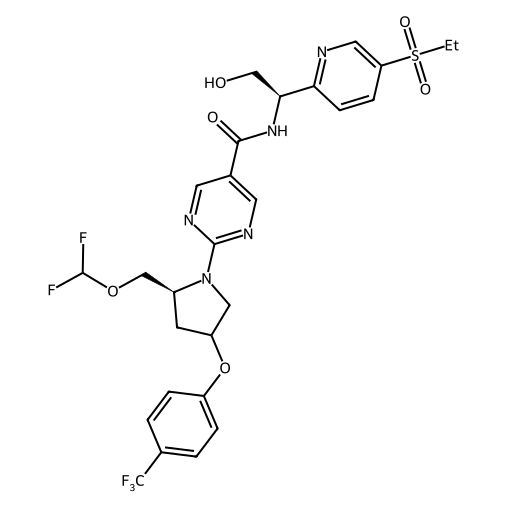 CCS(=O)(=O)c1ccc([C@H](CO)NC(=O)c2cnc(N3CC(Oc4ccc(C(F)(F)F)cc4)C[C@H]3COC(F)F)nc2)nc1